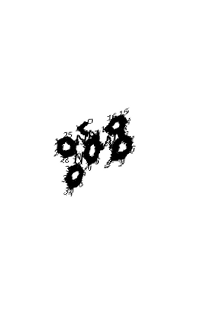 CCc1nc2c(-n3c4ccccc4c4ccccc43)ccc3c2n1-c1ccccc1N3c1ccccc1